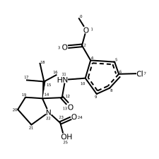 COC(=O)c1cc(Cl)ccc1NC(=O)[C@@]1(C(C)(C)C)CCCN1C(=O)O